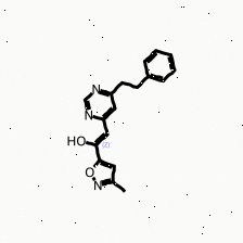 Cc1cc(/C(O)=C/c2cc(CCc3ccccc3)ncn2)on1